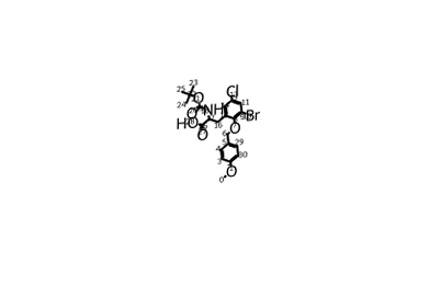 COc1ccc(COc2c(Br)cc(Cl)cc2CC(NC(=O)OC(C)(C)C)C(=O)O)cc1